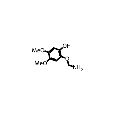 COc1cc(O)c(OCN)cc1OC